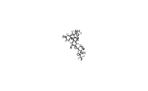 CC(C)(F)C(=O)Nc1cc(Oc2cc(F)c(N(C(=O)C3(C(N)=O)CC3)c3ccc(F)cc3)cc2F)ccn1